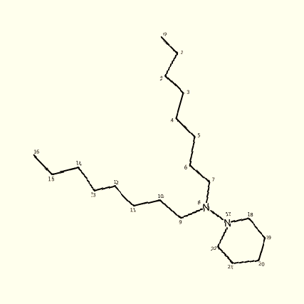 CCCCCCCCN(CCCCCCCC)N1CCCCC1